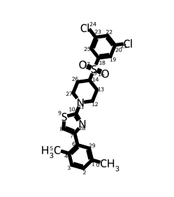 Cc1ccc(C)c(-c2csc(N3CCC(S(=O)(=O)c4cc(Cl)cc(Cl)c4)CC3)n2)c1